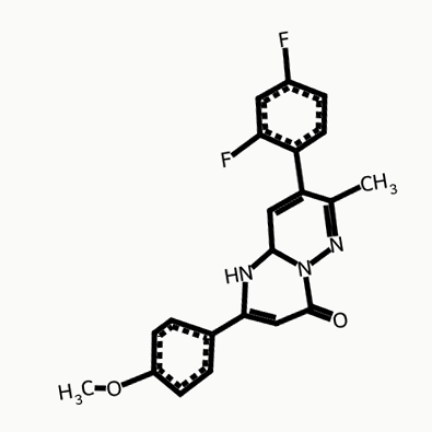 COc1ccc(C2=CC(=O)N3N=C(C)C(c4ccc(F)cc4F)=CC3N2)cc1